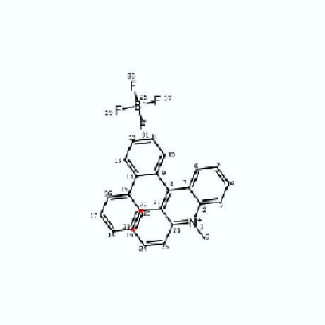 C[n+]1c2ccccc2c(-c2ccccc2-c2ccccc2)c2ccccc21.F[B-](F)(F)F